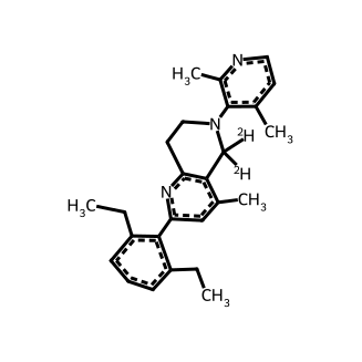 [2H]C1([2H])c2c(C)cc(-c3c(CC)cccc3CC)nc2CCN1c1c(C)ccnc1C